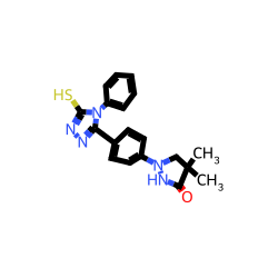 CC1(C)CN(c2ccc(-c3nnc(S)n3-c3ccccc3)cc2)NC1=O